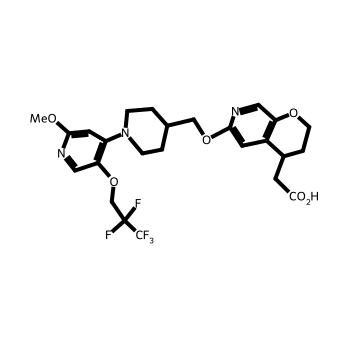 COc1cc(N2CCC(COc3cc4c(cn3)OCCC4CC(=O)O)CC2)c(OCC(F)(F)C(F)(F)F)cn1